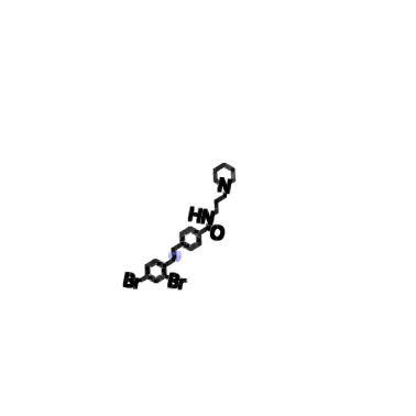 O=C(NCCCN1CCCCC1)c1ccc(/C=C/c2ccc(Br)cc2Br)cc1